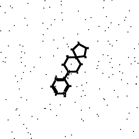 c1cnc(N2CCC3(CCCC3)CC2)cn1